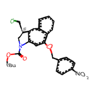 CC(C)(C)OC(=O)N1C[C@@H](CCl)c2c1cc(OCc1ccc([N+](=O)[O-])cc1)c1ccccc21